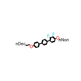 CCCCCCCCCCCCOc1ccc(-c2ccc(-c3ccc(OCCCCCCCCC)c(F)c3F)cc2)cc1